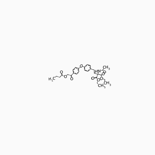 CCCC(=O)OCC(=O)c1ccc(Oc2ccc(CCC(NC(C)=O)(C(=O)OCC)C(=O)OCC)cc2)cc1